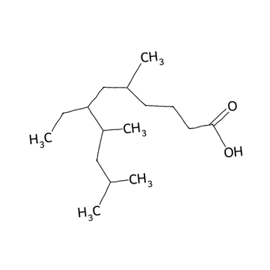 CCC(CC(C)CCCC(=O)O)C(C)CC(C)C